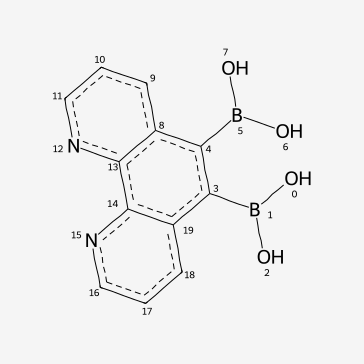 OB(O)c1c(B(O)O)c2cccnc2c2ncccc12